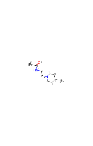 CCCCC1CCN(CCNC(=O)C(C)C)CC1